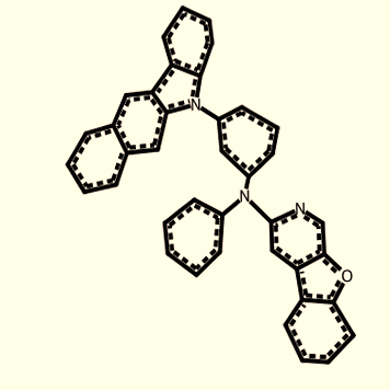 c1ccc(N(c2cccc(-n3c4ccccc4c4cc5ccccc5cc43)c2)c2cc3c(cn2)oc2ccccc23)cc1